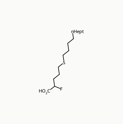 CCCCCCCCCCCSCCCC(F)C(=O)O